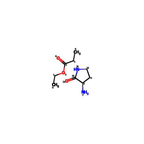 CCOC(=O)CC.NC1CCNC1=O